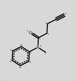 C#CCCC(=O)N(C)c1ccccc1